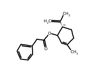 C=C(C)[C@@H]1CCC(C)=CC1OC(=O)Cc1ccccc1